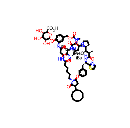 CC[C@H](C)[C@@H]([C@@H](CC(=O)N1CCC[C@H]1[C@H](OC)[C@@H](C)C(=O)N[C@@H](Cc1ccccc1)c1nccs1)OC)N(C)C(=O)[C@@H](NC(=O)[C@H](C(C)C)N(C)C(=O)OCc1ccc(O[C@@H]2OC(C(=O)O)[C@@H](O)C(O)C2O)c(NC(=O)CCNC(=O)CCCCCN2C(=O)CC(C3CCCCCCCC3)C2=O)c1)C(C)C